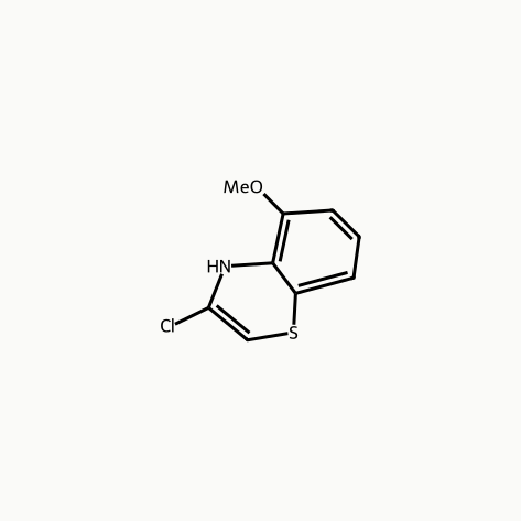 COc1cccc2c1NC(Cl)=CS2